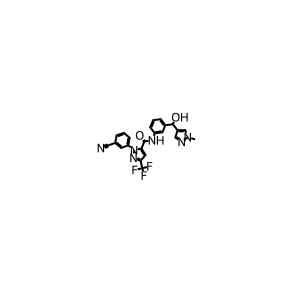 Cn1cc(C(O)c2cccc(NC(=O)c3cc(C(F)(F)F)nn3-c3cccc(C#N)c3)c2)cn1